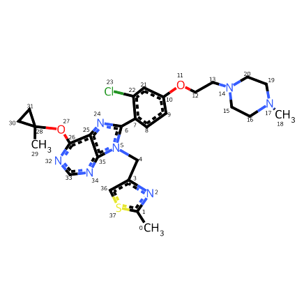 Cc1nc(Cn2c(-c3ccc(OCCN4CCN(C)CC4)cc3Cl)nc3c(OC4(C)CC4)ncnc32)cs1